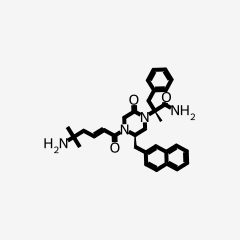 CC(C)(N)CC=CC(=O)N1CC(=O)N([C@](C)(Cc2ccccc2)C(N)=O)C[C@H]1Cc1ccc2ccccc2c1